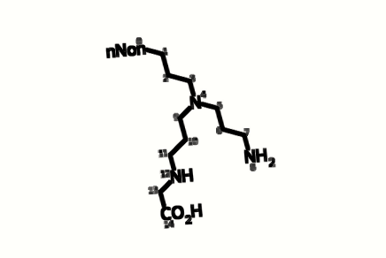 CCCCCCCCCCCCN(CCCN)CCCNCC(=O)O